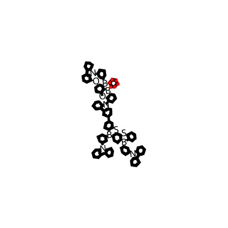 c1ccc(B2c3cccc(-n4c5ccccc5c5ccccc54)c3Oc3ccc4c(c32)B(c2ccccc2)c2cccc(-n3c5ccccc5c5cc(-c6ccc7c(c6)Sc6c(ccc8c6Sc6ccccc6B8c6cccc(-n8c9ccccc9c9ccccc98)c6)B7c6cccc(-n7c8ccccc8c8ccccc87)c6)ccc53)c2O4)cc1